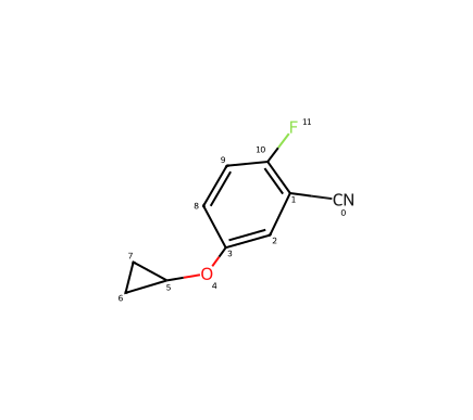 N#Cc1cc(OC2CC2)ccc1F